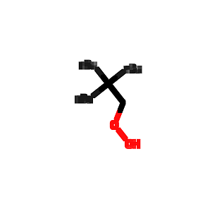 CCCCC(CCCC)(CCCC)COO